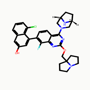 Oc1cc(-c2ccc3c(N4C[C@H]5CC[C@@H](C4)N5)nc(OCC45CCCN4CCC5)nc3c2F)c2c(Cl)cccc2c1